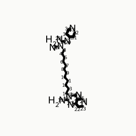 N#CN(CCCCCCCCCCCCN(C#N)C(N)=Nc1ccncc1)C(N)=Nc1ccncc1